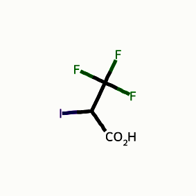 O=C(O)C(I)C(F)(F)F